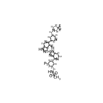 CS(=O)(=O)NCc1cc(F)cc(-c2nccc3[nH]c(-c4n[nH]c5cnc(-c6cncc(CN7CCC(F)(F)C7)c6)c(F)c45)nc23)c1